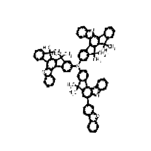 CC1(C)c2cc(N(c3ccc4c(c3)C(C)(C)c3c5c(c6oc7ccccc7c6c3-4)-c3ccccc3C5(C)C)c3ccc4c(c3)C(C)(C)c3c5c(c6oc7ccccc7c6c3-4)-c3ccccc3C5(C)C)ccc2-c2c1cc(-c1ccc3c(c1)oc1ccccc13)c1oc3ccccc3c21